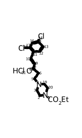 CCOC(=O)N1CCN(CCC(=O)C=Cc2ccc(Cl)cc2Cl)CC1.Cl